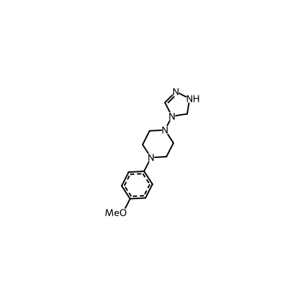 COc1ccc(N2CCN(N3C=NNC3)CC2)cc1